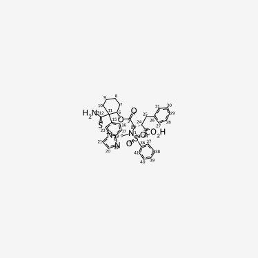 CN([C@H](C(=O)OC1CCCCC1(C(N)=S)c1ccc2nccn2c1)C(Cc1ccccc1)C(=O)O)S(=O)(=O)c1ccccc1